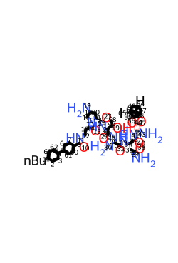 CCCCc1ccc(-c2ccc(C(=O)NCCC(=O)N3C[C@@H](N)C[C@H]3C(=O)N[C@H](C(=O)N[C@@H](N)C(=O)N[C@@H](CC(N)=O)C(=O)N[C@@H](N)B3OC4C[C@@H]5C[C@@H](C5(C)C)[C@]4(C)O3)C(C)O)cc2)cc1